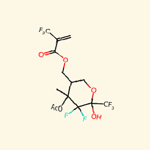 C=C(C(=O)OCC1COC(O)(C(F)(F)F)C(F)(F)C1(C)OC(C)=O)C(F)(F)F